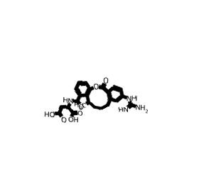 CC1CCCc2cc(NC(=N)N)ccc2C(=O)Oc2cccc(C(=O)NC(CC(=O)O)C(=O)O)c21